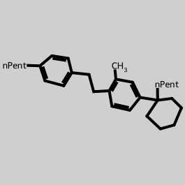 CCCCCc1ccc(CCc2ccc(C3(CCCCC)CCCCC3)cc2C)cc1